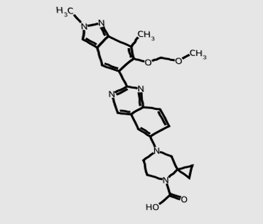 COCOc1c(-c2ncc3cc(N4CCN(C(=O)O)C5(CC5)C4)ccc3n2)cc2cn(C)nc2c1C